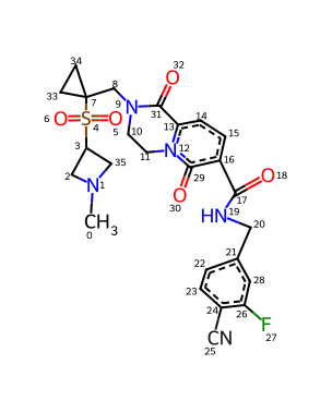 CN1CC(S(=O)(=O)C2(CN3CCn4c(ccc(C(=O)NCc5ccc(C#N)c(F)c5)c4=O)C3=O)CC2)C1